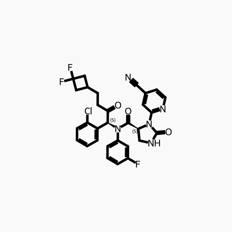 N#Cc1ccnc(N2C(=O)NC[C@H]2C(=O)N(c2cccc(F)c2)[C@H](C(=O)CCC2CC(F)(F)C2)c2ccccc2Cl)c1